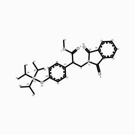 COC(=O)C(CN1C(=O)c2ccccc2C1=O)c1ccc(O[Si](C(C)C)(C(C)C)C(C)C)cc1